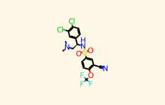 CN(C)C[C@H](NS(=O)(=O)c1ccc(OC(F)(F)F)c(C#N)c1)c1ccc(Cl)c(Cl)c1